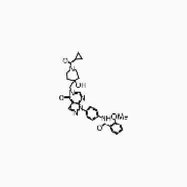 COc1ccccc1C(=O)Nc1ccc(-n2ncc3c(=O)n(CC4(O)CCN(C(=O)C5CC5)CC4)cnc32)cc1